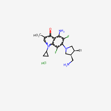 CC[C@@H]1CN(c2c(F)c(N)c3c(=O)c(C(=O)O)cn(C4CC4)c3c2F)C[C@@H]1CN.Cl